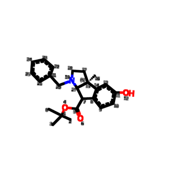 CC(C)(C)OC(=O)C1c2ccc(O)cc2[C@]2(C)CCN(Cc3ccccc3)C12